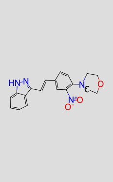 O=[N+]([O-])c1cc(C=Cc2n[nH]c3ccccc23)ccc1N1CCOCC1